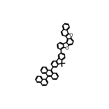 CC1(C)c2ccc(-c3cccc4c3oc3ccc5oc6c7ccccc7ccc6c5c34)cc2-c2ccc(-c3c4ccccc4c(-c4cccc5ccccc45)c4ccccc34)cc21